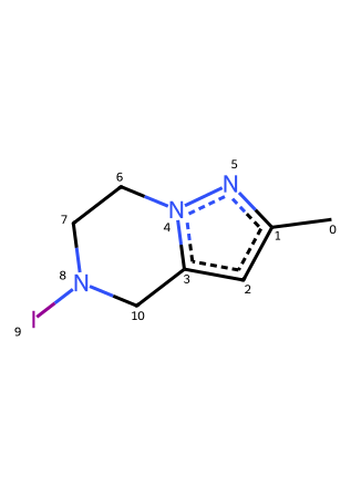 Cc1cc2n(n1)CCN(I)C2